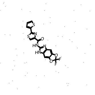 O=C(Nc1nc2cc3c(cc2[nH]1)OC(F)(F)O3)c1csc(-c2cccs2)n1